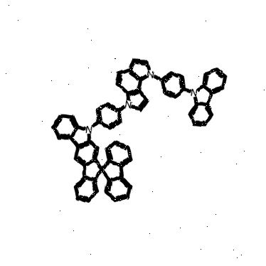 c1ccc2c(c1)-c1ccccc1C21c2ccccc2-c2cc3c4ccccc4n(-c4ccc(-n5ccc6c5ccc5ccn(-c7ccc(-n8c9ccccc9c9ccccc98)cc7)c56)cc4)c3cc21